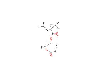 CCC1(C)OC(=O)CCCC1OC(=O)C1(C=C(C)C)CC1(C)C